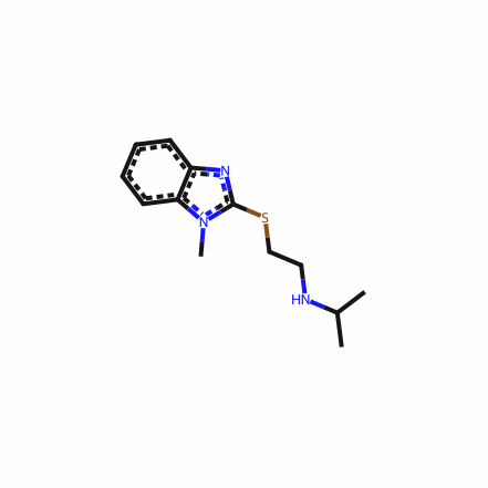 CC(C)NCCSc1nc2ccccc2n1C